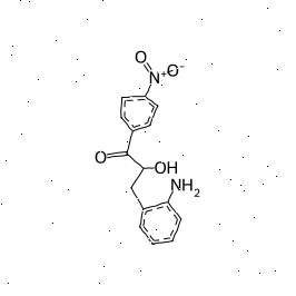 Nc1ccccc1CC(O)C(=O)c1ccc([N+](=O)[O-])cc1